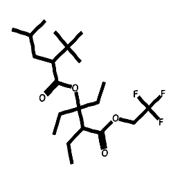 CCC(C(=O)OCC(F)(F)F)C(CC)(CC)OC(=O)C(CC(C)C)C(C)(C)C